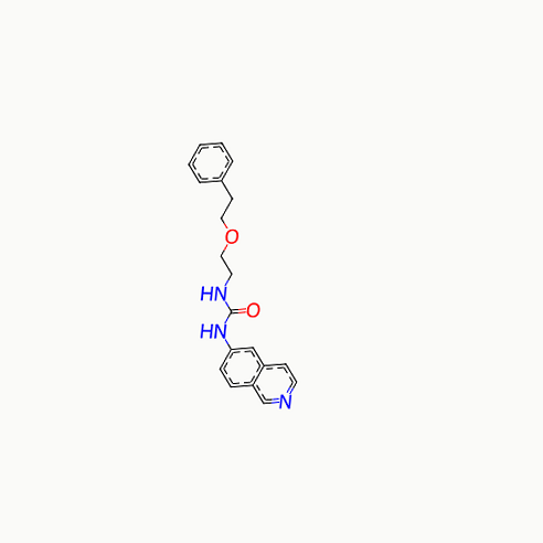 O=C(NCCOCCc1ccccc1)Nc1ccc2cnccc2c1